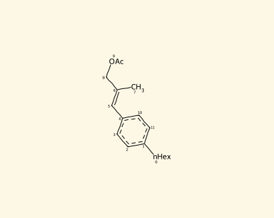 CCCCCCc1ccc(/C=C(\C)COC(C)=O)cc1